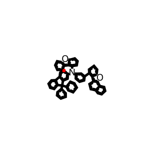 c1ccc(C2(c3ccccc3)c3ccccc3-c3ccc(N(c4cccc(-c5cccc6oc7c8ccccc8ccc7c56)c4)c4cccc5oc6ccccc6c45)cc32)cc1